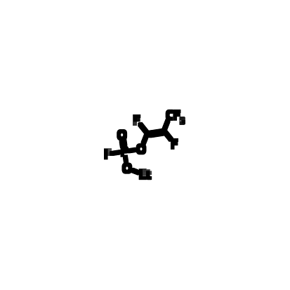 CCOP(=O)(F)OC(F)=C(F)C(F)(F)F